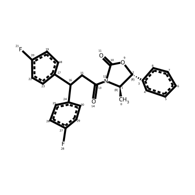 C[C@@H]1[C@@H](c2ccccc2)OC(=O)N1C(=O)CC(c1ccc(F)cc1)c1ccc(F)cc1